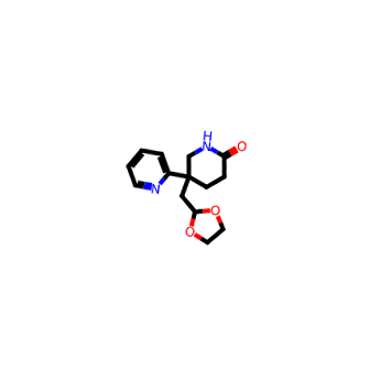 O=C1CCC(CC2OCCO2)(c2ccccn2)CN1